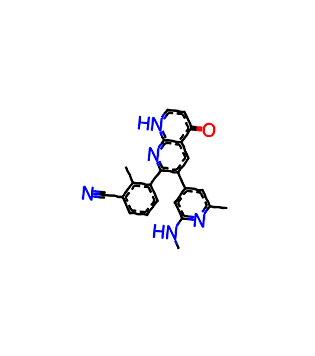 CNc1cc(-c2cc3c(=O)cc[nH]c3nc2-c2cccc(C#N)c2C)cc(C)n1